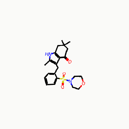 Cc1[nH]c2c(c1Cc1ccccc1S(=O)(=O)N1CCOCC1)C(=O)CC(C)(C)C2